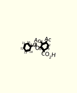 CC(=O)c1ccc(C(=O)O)c(OOc2ccccc2)c1C(C)=O